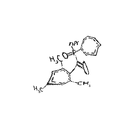 CCCP(=O)(C(=O)c1c(C)cc(C)cc1C)c1ccccc1